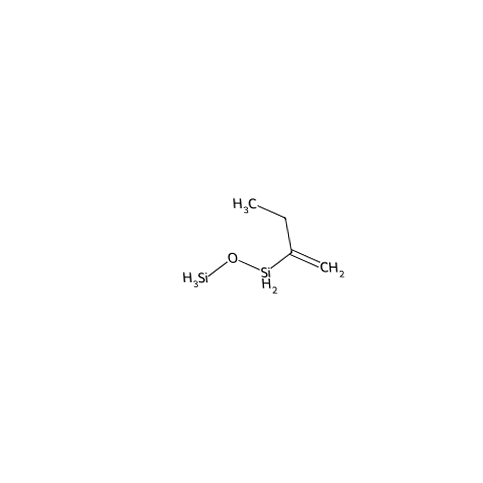 C=C(CC)[SiH2]O[SiH3]